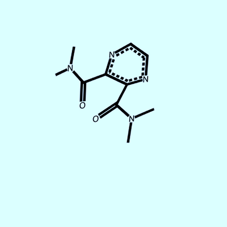 CN(C)C(=O)c1nccnc1C(=O)N(C)C